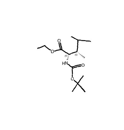 CCOC(=O)[C@@H](NC(=O)OC(C)(C)C)[C@@H](C)C(C)C